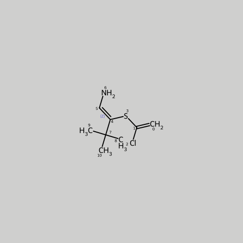 C=C(Cl)S/C(=C\N)C(C)(C)C